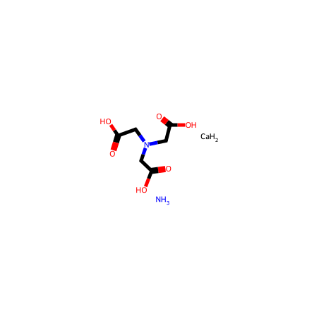 N.O=C(O)CN(CC(=O)O)CC(=O)O.[CaH2]